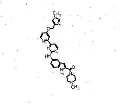 CN1CCN(C(=O)c2cc3cc(Nc4nccc(-c5cc(OCc6cn(C)cn6)ccn5)n4)ccc3[nH]2)CC1